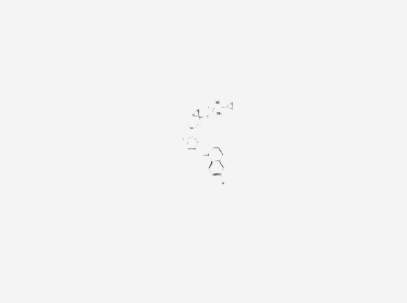 COc1ccc2c(O[C@H]3CN[C@H](C(=O)NC4(C(=O)NS(=O)(=O)C5CC5)CC4)C3)nccc2c1